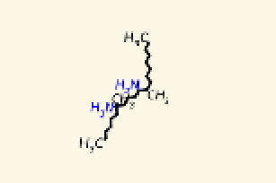 CCCCCCCCC(C)C(N)CCCC(C)(N)CCCCCC